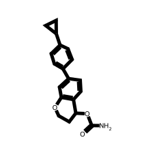 NC(=O)OC1CCOc2cc(-c3ccc(C4CC4)cc3)ccc21